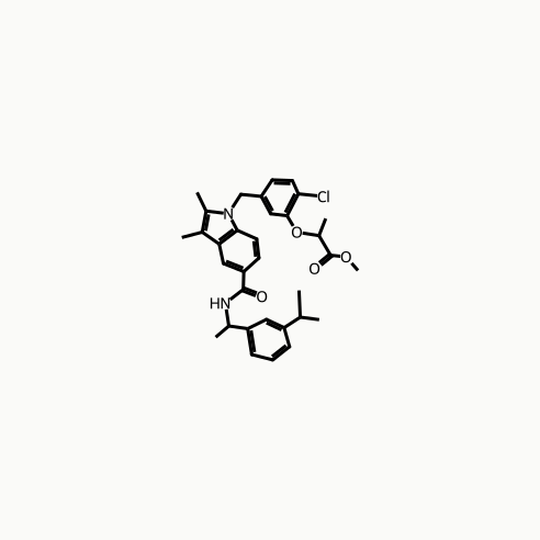 COC(=O)C(C)Oc1cc(Cn2c(C)c(C)c3cc(C(=O)NC(C)c4cccc(C(C)C)c4)ccc32)ccc1Cl